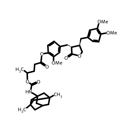 COc1ccc(C[C@H]2COC(=O)[C@@H]2Cc2ccc(OC(=O)CCC(C)OC(=O)NC34CC5CC(C)(CC(C)(C5)C3)C4)c(OC)c2)cc1OC